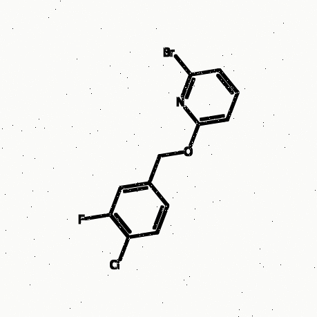 Fc1cc(COc2cccc(Br)n2)ccc1Cl